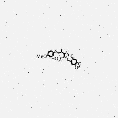 COc1ccc(SCC(C)c2ncn(Cc3cc4c(cc3Cl)OCO4)c2C(=O)O)cc1